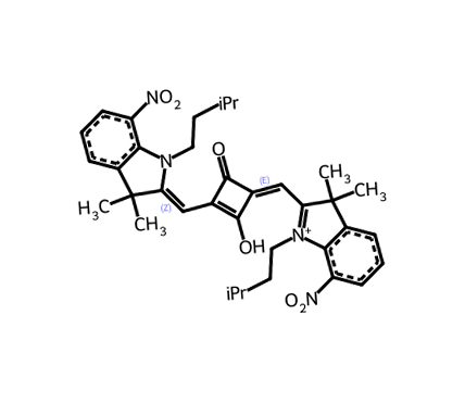 CC(C)CCN1/C(=C\C2=C(O)C(=C\C3=[N+](CCC(C)C)c4c([N+](=O)[O-])cccc4C3(C)C)/C2=O)C(C)(C)c2cccc([N+](=O)[O-])c21